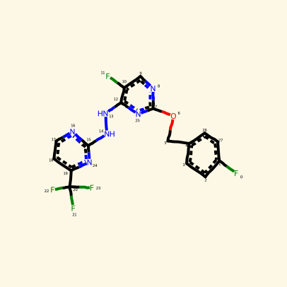 Fc1ccc(COc2ncc(F)c(NNc3nccc(C(F)(F)F)n3)n2)cc1